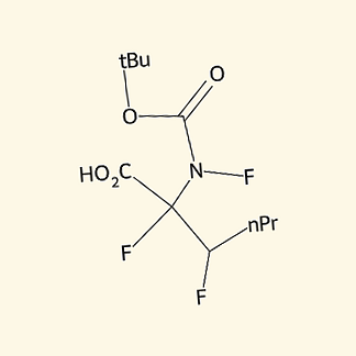 CCCC(F)C(F)(C(=O)O)N(F)C(=O)OC(C)(C)C